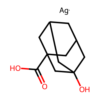 O=C(O)C12CC3CC(CC(O)(C3)C1)C2.[Ag]